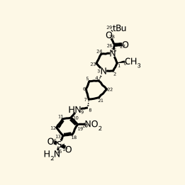 C[C@H]1CN([C@H]2CC[C@@H](CNc3ccc(S(N)(=O)=O)cc3[N+](=O)[O-])CC2)CCN1C(=O)OC(C)(C)C